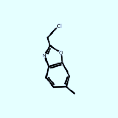 Cc1ccc2nc(CCl)oc2c1